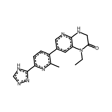 CCN1C(=O)CNc2ncc(-c3ccc(-c4nnc[nH]4)nc3C)cc21